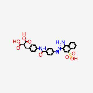 Nc1c(/N=N/c2ccc(C(=O)Nc3ccc(CC(C(=O)O)C(=O)O)cc3)cc2)cc(S(=O)(=O)O)c2ccccc12